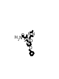 CC1=C(C(N)=O)SC(n2ccc(OCc3ccccc3)cc2=O)N1Cc1cnc(C)cn1